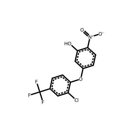 O=[N+]([O-])c1ccc(Oc2ccc(C(F)(F)F)cc2Cl)cc1O